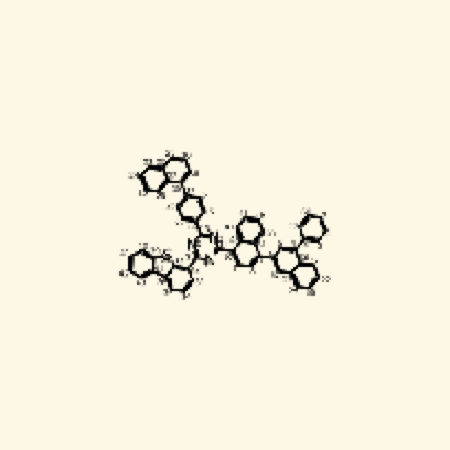 c1ccc(-c2cc(-c3ccc(-c4nc(-c5ccc(-c6cccc7ccccc67)cc5)nc(-c5cccc6c5sc5ccccc56)n4)c4ccccc34)cc3ccccc23)cc1